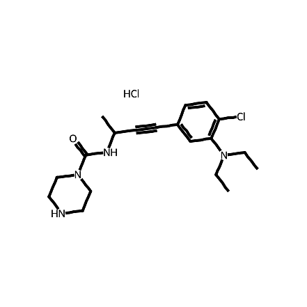 CCN(CC)c1cc(C#CC(C)NC(=O)N2CCNCC2)ccc1Cl.Cl